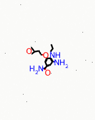 CCCNc1c(N)cc(C(N)=O)cc1OCCC1COC1